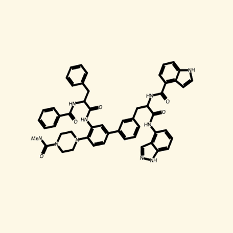 CNC(=O)N1CCN(c2ccc(-c3cccc(CC(NC(=O)c4cccc5[nH]ccc45)C(=O)Nc4cccc5[nH]ncc45)c3)cc2NC(=O)C(Cc2ccccc2)NC(=O)c2ccccc2)CC1